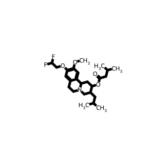 COc1cc2c(cc1OCC(F)F)CCN1CC(CC(C)C)C(OC(=O)CC(C)C)CC21